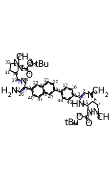 C=N/C=C(\NC1CCN(C)N1C(=O)OC(C)(C)C)c1ccc(-c2ccc3cc(C(=C/N)/N=C/C4CCN(C)N4C(=O)OC(C)(C)C)ccc3c2)cc1